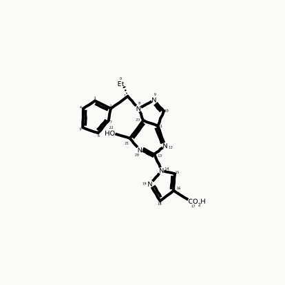 CC[C@@H](c1ccccc1)n1ncc2nc(-n3cc(C(=O)O)cn3)nc(O)c21